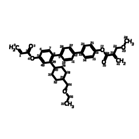 C=CC(=O)Oc1ccc(-c2ccc(-c3ccc(OC(=O)C(=C)COC)cc3)cc2)c(C2CCC(COCC)CC2)c1